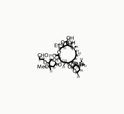 CC[C@H]1OC(=O)[C@H](C)[C@@H](O[C@H]2C[C@@](C)(OC)[C@@H](OCCC=O)[C@H](C)O2)[C@H](C)[C@@H](O[C@@H]2O[C@H](C)C[C@H](N(C)C)[C@H]2OC(C)=O)[C@](C)(O)C[C@@H](C)CN(C)[C@H](C)[C@@]2(O)[C@H](O)O[C@]12C